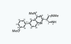 CN/C=C(\C=N)c1nc(NC)c2cc(-c3cccc(OC)c3)ccc2n1